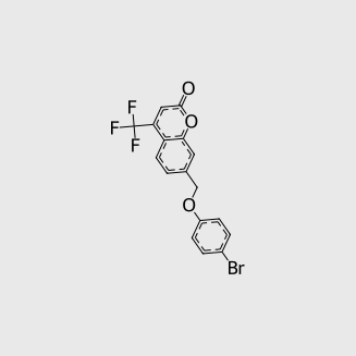 O=c1cc(C(F)(F)F)c2ccc(COc3ccc(Br)cc3)cc2o1